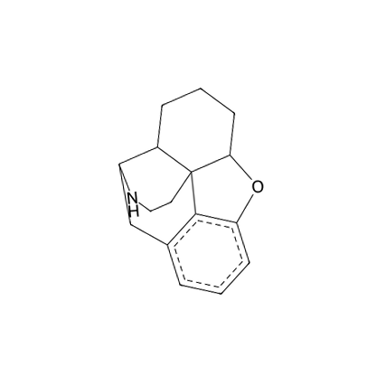 c1cc2c3c(c1)OC1CCCC4C(C2)NCCC314